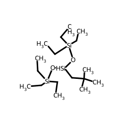 CC[Si](CC)(CC)O[SiH](CC(C)(C)C)O[Si](CC)(CC)CC